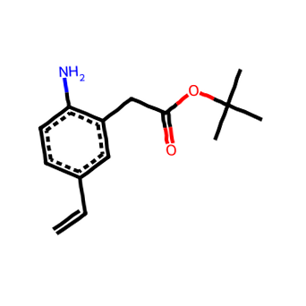 C=Cc1ccc(N)c(CC(=O)OC(C)(C)C)c1